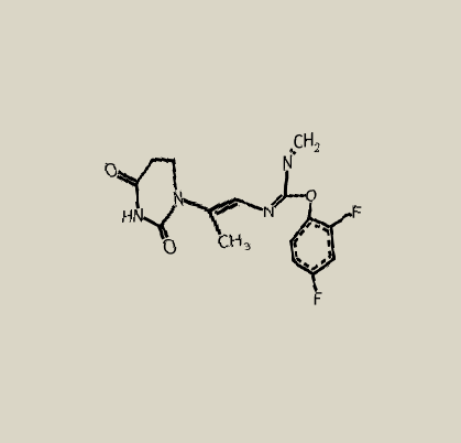 C=N/C(=N\C=C(/C)N1CCC(=O)NC1=O)Oc1ccc(F)cc1F